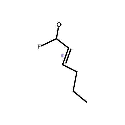 CCC/C=C/C([O])F